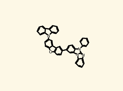 c1ccc(-n2c3ccc(-c4ccc5oc6ccc(-n7c8ccccc8c8ccccc87)cc6c5c4)cc3n3c4ccccc4nc23)cc1